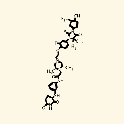 C[C@@H]1CN(CCOc2ccc(N3C(=S)N(c4ccc(C#N)c(C(F)(F)F)c4)C(=O)C3(C)C)cc2F)C[C@H](C)N1CC(=O)Nc1cccc(NC2CCC(=O)NC2=O)c1